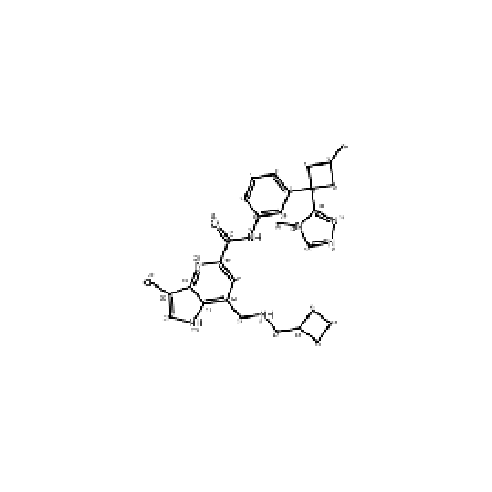 CC1CC(c2cccc(NC(=O)c3cc(CNCC4CCC4)c4[nH]cc(Cl)c4n3)c2)(c2nncn2C)C1